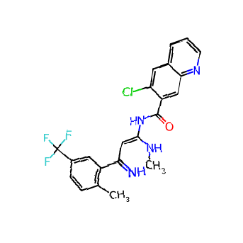 CN/C(=C\C(=N)c1cc(C(F)(F)F)ccc1C)NC(=O)c1cc2ncccc2cc1Cl